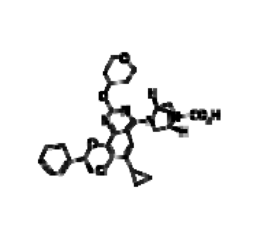 C[C@H](Oc1c(Cl)c(C2CC2)cc2c(N3C[C@@H]4C[C@H]3CN4C(=O)O)nc(OC3CCOCC3)nc12)c1ccccc1